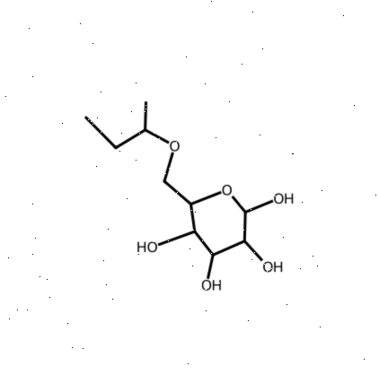 CCC(C)OCC1OC(O)C(O)C(O)C1O